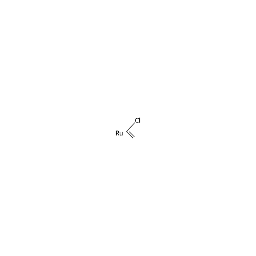 C=CCl.[Ru]